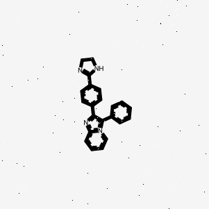 c1ccc(-c2c(-c3ccc(C4=NCCN4)cc3)nc3ccccn23)cc1